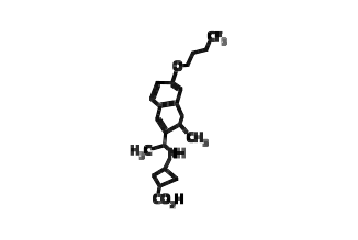 CC1Cc2cc(OCCCC(F)(F)F)ccc2C=C1C(C)NC1CC(C(=O)O)C1